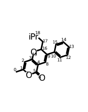 Cc1cc2c(c(=O)o1)C=C(c1ccccc1)C(CC(C)C)O2